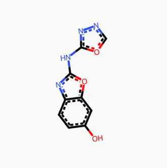 Oc1ccc2nc(Nc3nnco3)oc2c1